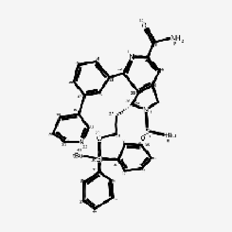 CC(C)(C)[S+]([O-])N1Cc2cc(C(N)=O)nc(-c3cccc(-c4cccnc4)c3)c2[C@H]1CCO[Si](c1ccccc1)(c1ccccc1)C(C)(C)C